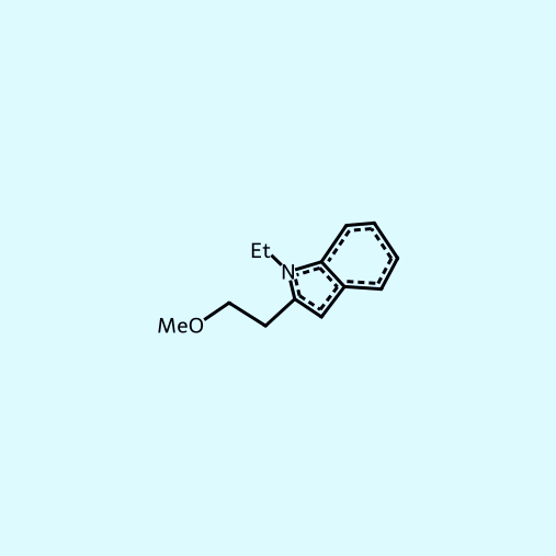 CCn1c(CCOC)cc2ccccc21